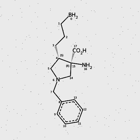 BCCC[C@H]1CN(Cc2ccccc2)C[C@@]1(N)C(=O)O